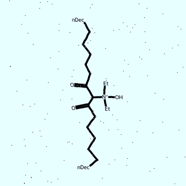 CCCCCCCCCCCCCCCC(=O)C(C(=O)CCCCCCCCCCCCCCC)[N+](O)(CC)CC